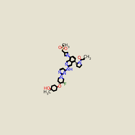 C=CC(=O)N1CCC[C@H]1c1ccc(N2CC(CS(C)(=O)=O)C2)c2cnc(Nc3ccnc(N4CC[C@@H](OC5CCC(C)(O)CC5)[C@@H](F)C4)n3)cc12